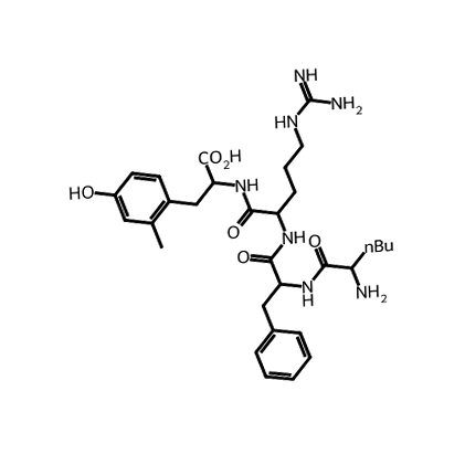 CCCCC(N)C(=O)NC(Cc1ccccc1)C(=O)NC(CCCNC(=N)N)C(=O)NC(Cc1ccc(O)cc1C)C(=O)O